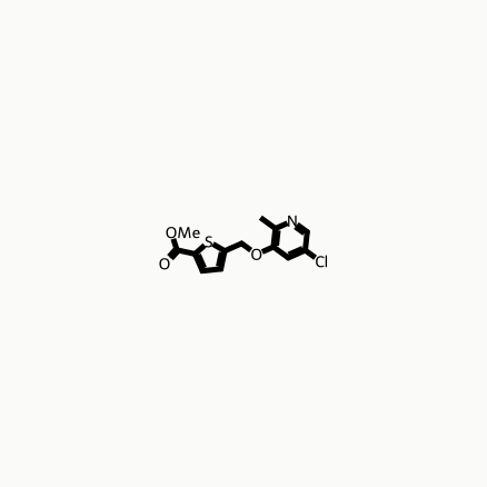 COC(=O)c1ccc(COc2cc(Cl)cnc2C)s1